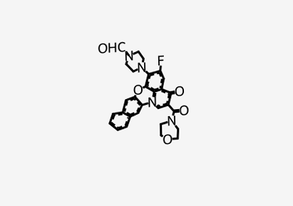 O=CN1CCN(c2c(F)cc3c(=O)c(C(=O)N4CCOCC4)cn4c3c2Oc2cc3ccccc3cc2-4)CC1